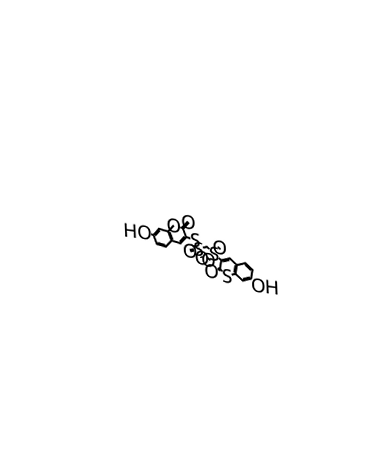 O=c1oc2cc(O)ccc2cc1SS(=O)(=O)CS(=O)(=O)c1cc2ccc(O)cc2sc1=O